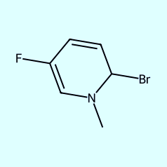 CN1C=C(F)C=CC1Br